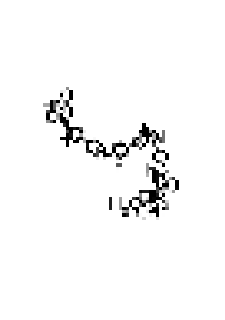 CC(C)(C)OC1CN(C(=O)NCc2ccc(-c3ncnn4cc(-c5ccc(CN6CCC(c7ccc(N[C@H]8CCC(=O)NC8=O)cc7)CC6)c(F)c5)cc34)cc2F)C1